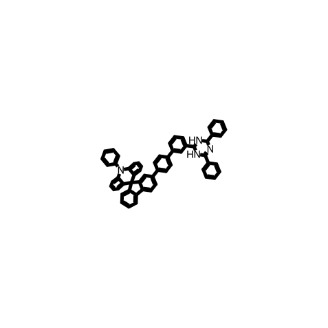 c1ccc(C2=NC(c3ccccc3)NC(c3cccc(-c4ccc(-c5ccc6c(c5)C5(c7ccccc7-6)c6ccccc6N(c6ccccc6)c6ccccc65)cc4)c3)N2)cc1